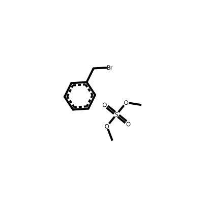 BrCc1ccccc1.COS(=O)(=O)OC